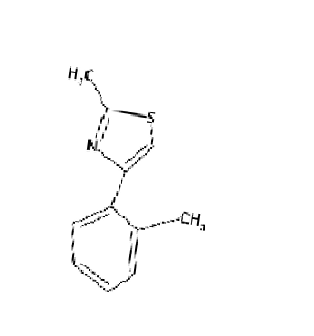 Cc1nc(-c2ccccc2C)cs1